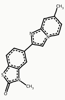 Cc1ccn2cc(-c3ccc4sc(=O)n(C)c4c3)nc2c1